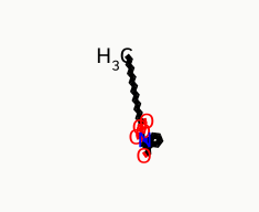 CCCCCCCCCCCCCCCC(=O)OOC(=O)n1cc(C=O)c2ccccc21